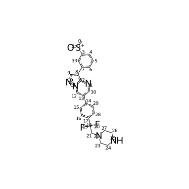 C[S+]([O-])c1cccc(-c2cnn3cc(-c4ccc(C(F)(F)CN5CCNCC5)cc4)cnc23)c1